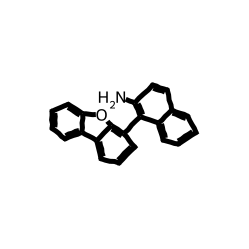 Nc1ccc2ccccc2c1-c1cccc2c1oc1ccccc12